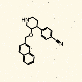 N#Cc1ccc(C2CCNCC2OCc2ccc3ccccc3c2)cc1